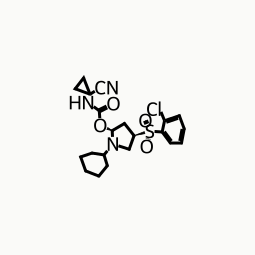 N#CC1(NC(=O)O[C@H]2C[C@@H](S(=O)(=O)c3ccccc3Cl)CN2C2CCCCC2)CC1